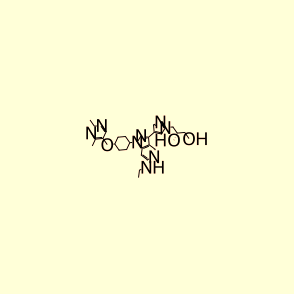 CCNc1cc2c(cn1)c(-c1cnn(C[C@@H](O)CO)c1)nn2C1CCC(Oc2cnc(C)nc2C)CC1